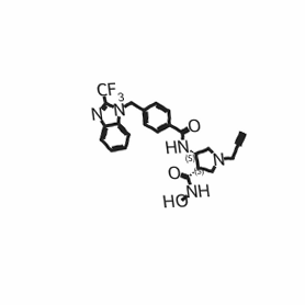 C#CCN1C[C@H](C(=O)NO)[C@H](NC(=O)c2ccc(Cn3c(C(F)(F)F)nc4ccccc43)cc2)C1